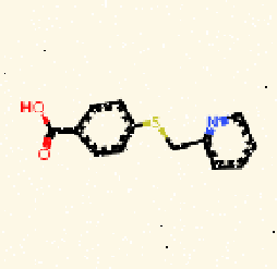 O=C(O)c1ccc(SCc2ccccn2)cc1